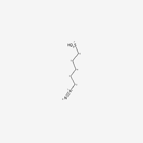 N#[N+]CCCCCS(=O)(=O)O